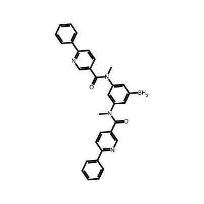 Bc1cc(N(C)C(=O)c2ccc(-c3ccccc3)nc2)cc(N(C)C(=O)c2ccc(-c3ccccc3)nc2)c1